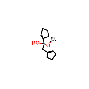 CCOC(O)(CC1=CCCC1)C1=CCCC1